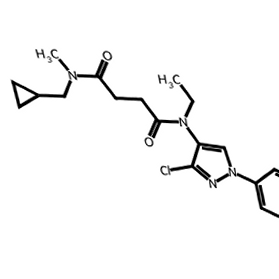 CCN(C(=O)CCC(=O)N(C)CC1CC1)c1cn(-c2cccnc2)nc1Cl